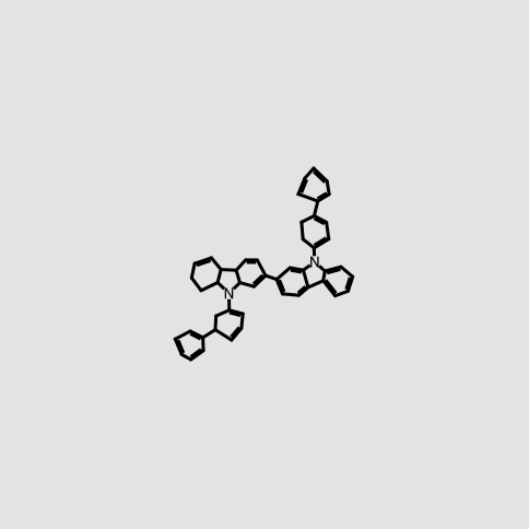 C1=CC(c2ccccc2)CC(N2C3C=C(c4ccc5c6ccccc6n(C6=CC=C(c7ccccc7)CC6)c5c4)C=CC3C3C=CCCC32)=C1